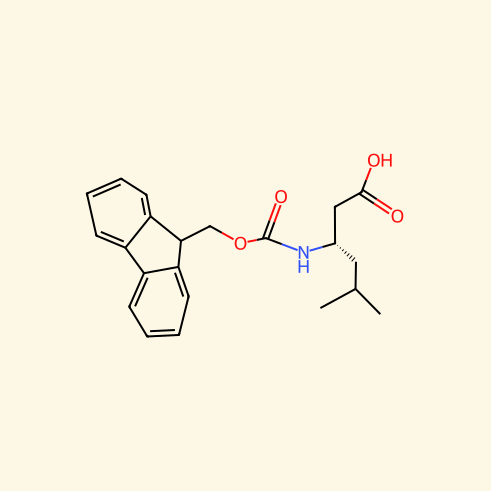 CC(C)C[C@@H](CC(=O)O)NC(=O)OCC1c2ccccc2-c2ccccc21